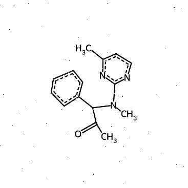 CC(=O)C(c1ccccc1)N(C)c1nccc(C)n1